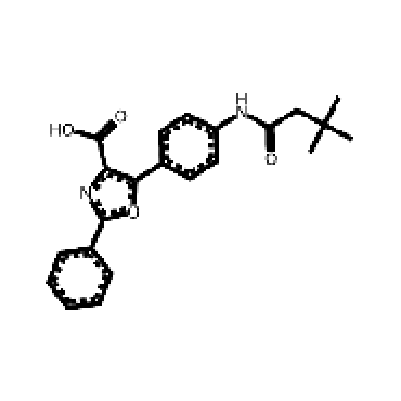 CC(C)(C)CC(=O)Nc1ccc(-c2oc(-c3ccccc3)nc2C(=O)O)cc1